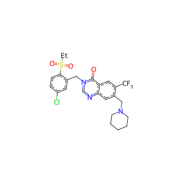 CCS(=O)(=O)c1ccc(Cl)cc1Cn1cnc2cc(CN3CCCCC3)c(C(F)(F)F)cc2c1=O